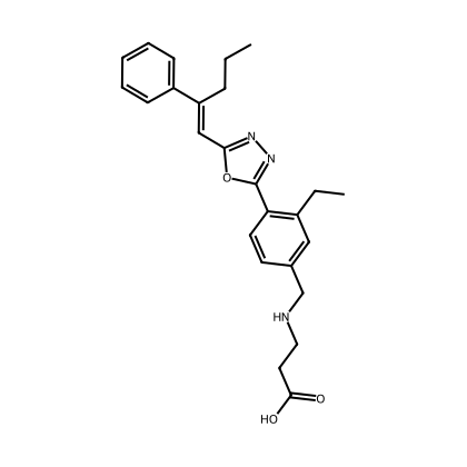 CCC/C(=C\c1nnc(-c2ccc(CNCCC(=O)O)cc2CC)o1)c1ccccc1